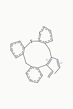 C=C/C1=C(\C=C/C)Cc2ccccc2Sc2ccccc2Cc2ccccc21